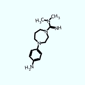 CN(C)C(=N)N1CCCN(c2ccc(N)cc2)CC1